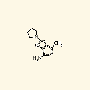 Cc1ccc(N)c2oc(N3CCCC3)cc12